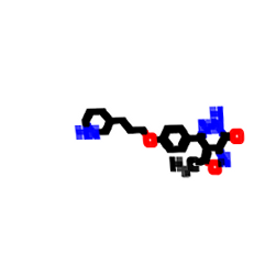 Cc1onc2c(=O)[nH]nc(-c3ccc(OCCCC4CCCNC4)cc3)c12